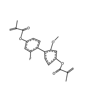 C=C(C)C(=O)Oc1ccc(-c2ccc(OC(=O)C(=C)C)cc2OC)c(F)c1